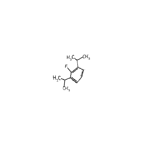 CC(C)c1[c]ccc(C(C)C)c1F